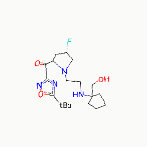 CC(C)(C)c1nc(C(=O)C2C[C@H](F)CN2CCNC2(CO)CCCC2)no1